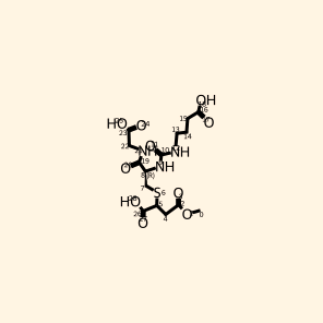 COC(=O)CC(SC[C@H](NC(=O)NCCCC(=O)O)C(=O)NCC(=O)O)C(=O)O